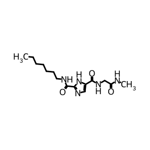 CCCCCCCNC(=O)c1ncc(C(=O)NCC(=O)NC)[nH]1